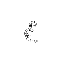 CCCC(C)CCN(C(=O)CNC(=O)Nc1cccc(CC(=O)O)c1)c1ccccc1OCC(=O)N(C)c1ccccc1